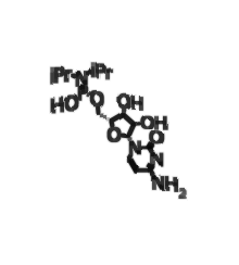 CC(C)N(C(C)C)P(O)OC[C@H]1O[C@@H](n2ccc(N)nc2=O)[C@H](O)[C@@H]1O